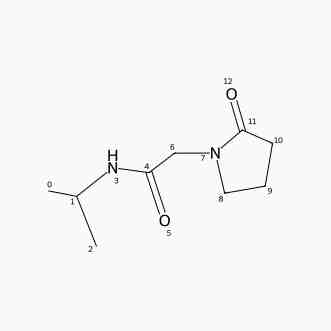 CC(C)NC(=O)CN1CCCC1=O